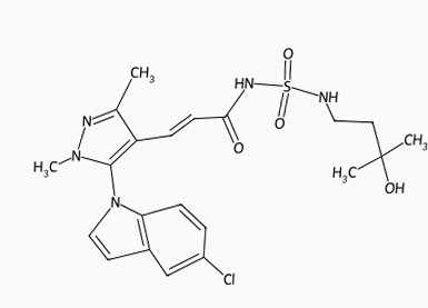 Cc1nn(C)c(-n2ccc3cc(Cl)ccc32)c1C=CC(=O)NS(=O)(=O)NCCC(C)(C)O